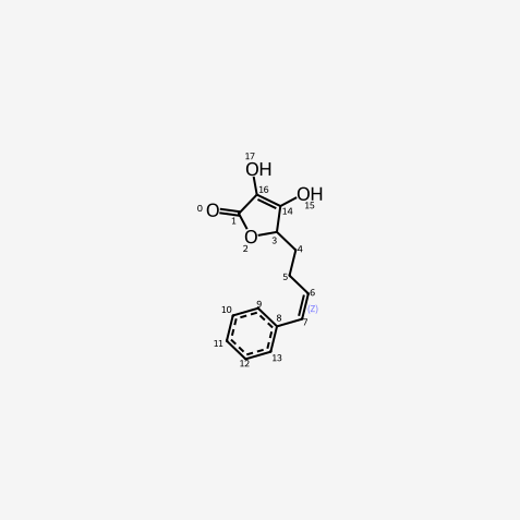 O=C1OC(CC/C=C\c2ccccc2)C(O)=C1O